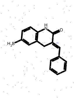 Bc1ccc2c(c1)C/C(=C\c1ccccc1)C(=O)N2